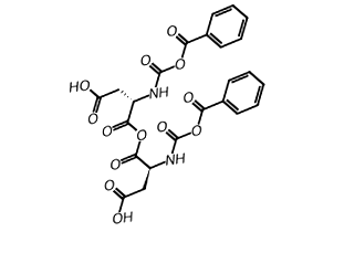 O=C(O)C[C@H](NC(=O)OC(=O)c1ccccc1)C(=O)OC(=O)[C@H](CC(=O)O)NC(=O)OC(=O)c1ccccc1